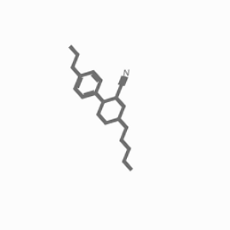 CCCCCC1CCC(c2ccc(CCC)cc2)C(C#N)C1